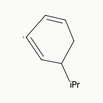 CC(C)C1C=[C]C=CC1